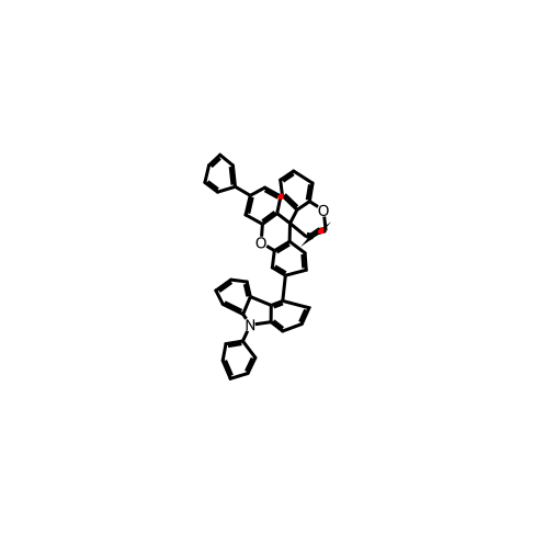 c1ccc(-c2ccc3c(c2)Oc2cc(-c4cccc5c4c4ccccc4n5-c4ccccc4)ccc2C32c3ccccc3Oc3ccccc32)cc1